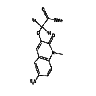 [2H]C([2H])(Oc1cc2cc(N)ccc2n(C)c1=O)C(=O)NC